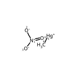 O=[N+]([O-])[O-].[CH3][Hg+]